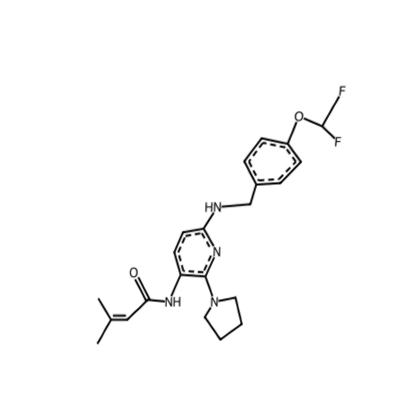 CC(C)=CC(=O)Nc1ccc(NCc2ccc(OC(F)F)cc2)nc1N1CCCC1